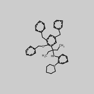 CCC(CC)(Pc1ccccc1N1CCCCC1)c1cc(Cc2ccccc2)cc(Cc2ccccc2)c1OCc1ccccc1